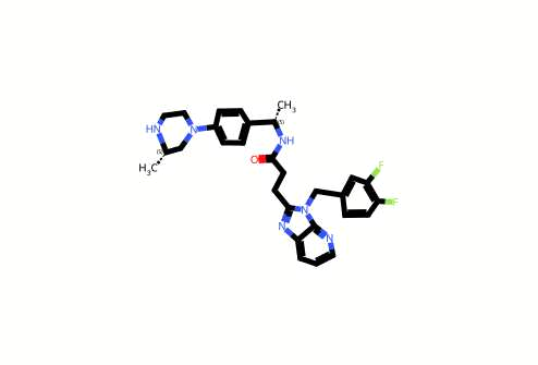 C[C@H](NC(=O)CCc1nc2cccnc2n1Cc1ccc(F)c(F)c1)c1ccc(N2CCN[C@@H](C)C2)cc1